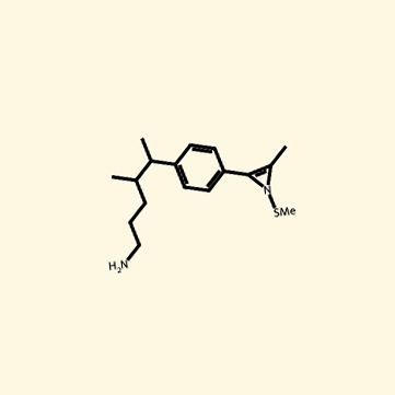 CSN1C(C)=C1c1ccc(C(C)C(C)CCCN)cc1